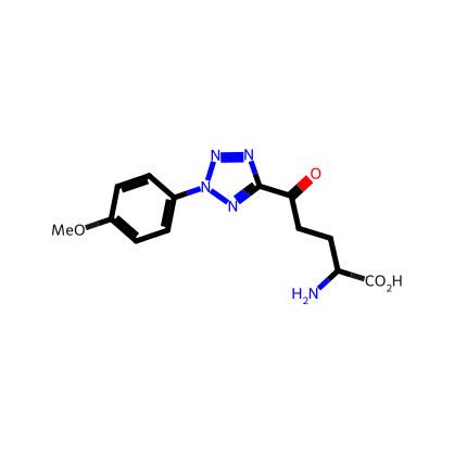 COc1ccc(-n2nnc(C(=O)CCC(N)C(=O)O)n2)cc1